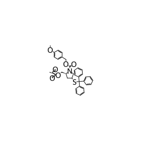 COc1ccc(COC(=O)N2C[C@@H](SC(c3ccccc3)(c3ccccc3)c3ccccc3)C[C@H]2COS(C)(=O)=O)cc1